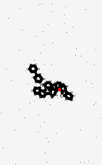 c1ccc(-c2ccc(N(c3ccc(-c4ccccc4)cc3)c3cccc4ccc5c6ccc(-c7cccc8c7oc7ccccc78)cc6sc5c34)cc2)cc1